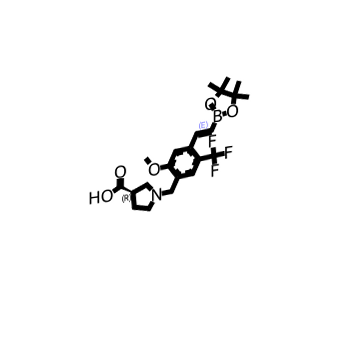 COc1cc(/C=C/B2OC(C)(C)C(C)(C)O2)c(C(F)(F)F)cc1CN1CC[C@@H](C(=O)O)C1